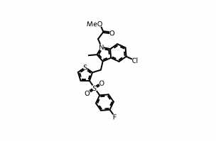 COC(=O)Cn1c(C)c(Cc2sccc2S(=O)(=O)c2ccc(F)cc2)c2cc(Cl)ccc21